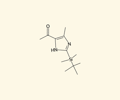 CC(=O)c1[nH]c([Si](C)(C)C(C)(C)C)nc1C